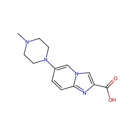 CN1CCN(c2ccc3nc(C(=O)O)cn3c2)CC1